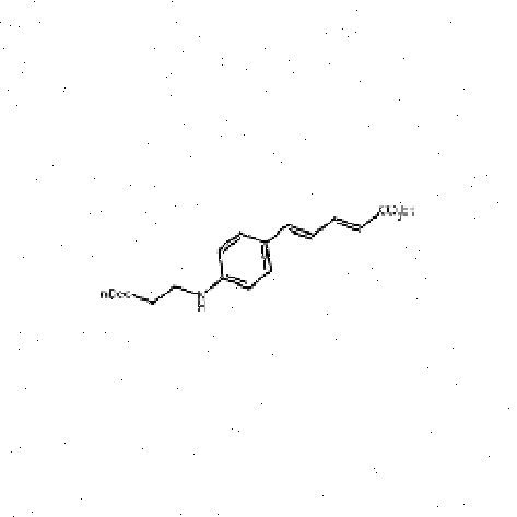 CCCCCCCCCCCCNc1ccc(/C=C/C=C/C(=O)OCC)cc1